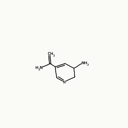 C=C(N)C1=CC(N)CN=C1